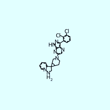 NCC1(c2ccccn2)C2CCN(c3cnc4c(-c5cccc(Cl)c5Cl)n[nH]c4n3)CC21